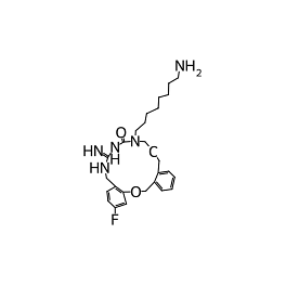 N=C1NCc2ccc(F)cc2OCc2ccccc2CCCN(CCCCCCCCN)C(=O)N1